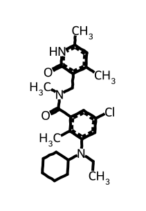 CCN(c1cc(Cl)cc(C(=O)N(C)Cc2c(C)cc(C)[nH]c2=O)c1C)C1CCCCC1